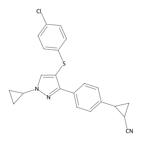 N#CC1CC1c1ccc(-c2nn(C3CC3)cc2Sc2ccc(Cl)cc2)cc1